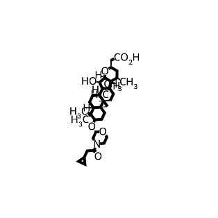 C[C@@H]1C[C@H](CC(=O)O)O[C@H]2[C@H]1[C@@]1(C)CC[C@@]34C[C@@]35CCC(O[C@H]3CN(C(=O)CC6CC6)CCO3)C(C)(C)[C@@H]5CC[C@H]4[C@]1(C)[C@H]2O